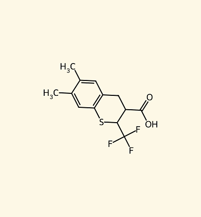 Cc1cc2c(cc1C)SC(C(F)(F)F)C(C(=O)O)C2